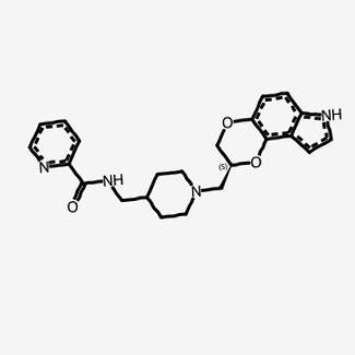 O=C(NCC1CCN(C[C@H]2COc3ccc4[nH]ccc4c3O2)CC1)c1ccccn1